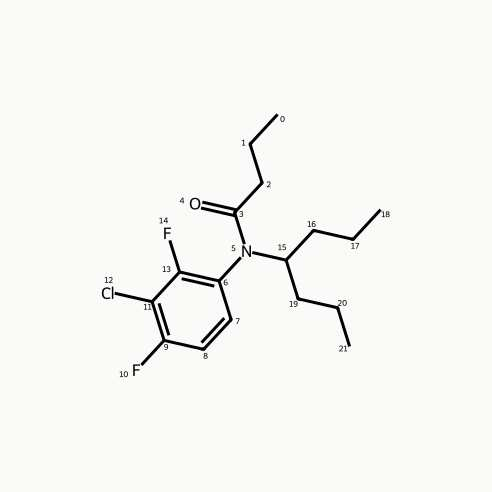 CCCC(=O)N(c1ccc(F)c(Cl)c1F)C(CCC)CCC